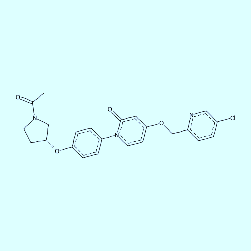 CC(=O)N1CC[C@@H](Oc2ccc(-n3ccc(OCc4ccc(Cl)cn4)cc3=O)cc2)C1